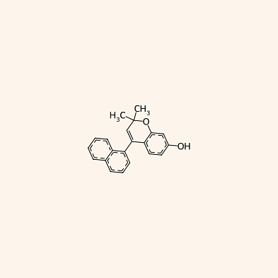 CC1(C)C=C(c2cccc3ccccc23)c2ccc(O)cc2O1